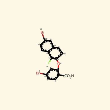 O=C(O)c1ccc(Br)cc1Oc1ccc2cc(Br)ccc2c1F